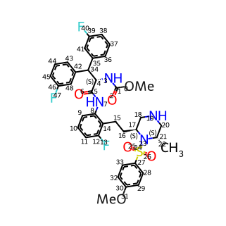 COC(=O)N[C@H](C(=O)Nc1cccc(F)c1CC[C@H]1CNC[C@H](C)N1S(=O)(=O)c1ccc(OC)cc1)C(c1cccc(F)c1)c1cccc(F)c1